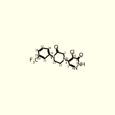 O=C1CN(c2cn[nH]c(=O)c2Cl)CCN1c1cccc(C(F)(F)F)c1